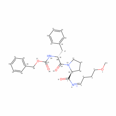 COCCC/C=N\C(=O)[C@@H]1CCCN1C(=O)[C@@H](Cc1ccccc1)NC(=O)OCc1ccccc1